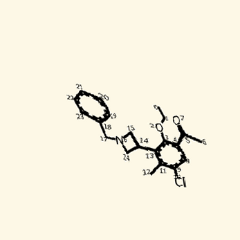 CCOc1c(C(C)=O)cc(Cl)c(C)c1C1CN(Cc2ccccc2)C1